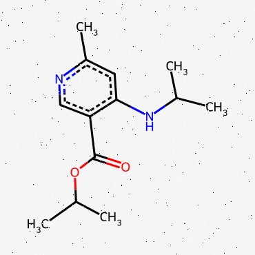 Cc1cc(NC(C)C)c(C(=O)OC(C)C)cn1